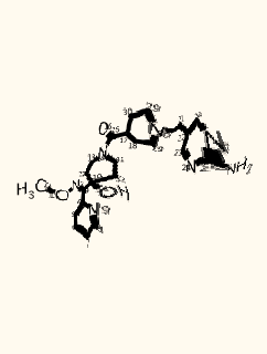 CO/N=C(\c1ccccn1)C1(O)CCN(C(=O)C2CCN(Cc3cnc(N)nc3)CC2)CC1